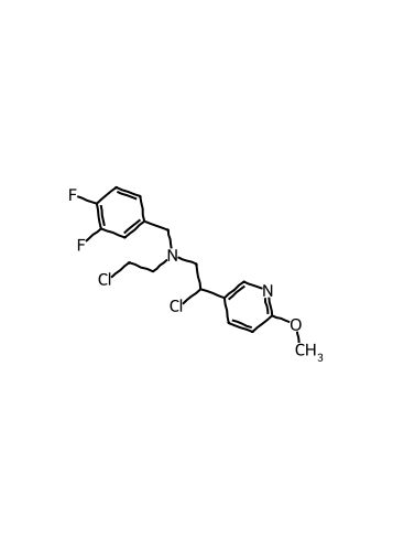 COc1ccc(C(Cl)CN(CCCl)Cc2ccc(F)c(F)c2)cn1